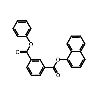 O=C(Oc1ccccc1)c1cccc(C(=O)Oc2cccc3ccccc23)c1